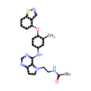 Cc1cc(Nc2ncnc3ccn(CCNC(=O)C(C)(C)C)c23)ccc1Oc1cccc2sncc12